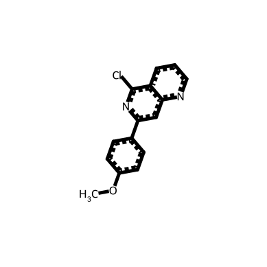 COc1ccc(-c2cc3ncccc3c(Cl)n2)cc1